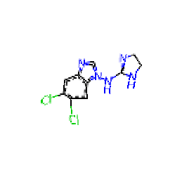 Clc1cc2ncn(NC3=NCCN3)c2cc1Cl